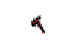 CN(C)C1CC(N2CC(n3nnc(Cn4cc(NC(=O)c5cnn6cccnc56)c(-c5cc(OC(F)F)ccc5OC(F)F)n4)n3)C2)C1